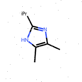 Cc1nc(C(C)C)[nH]c1C